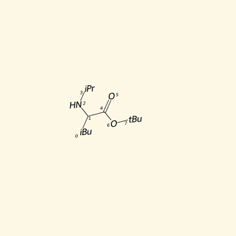 CCC(C)C(NC(C)C)C(=O)OC(C)(C)C